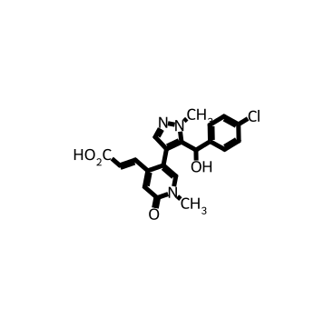 Cn1ncc(-c2cn(C)c(=O)cc2C=CC(=O)O)c1C(O)c1ccc(Cl)cc1